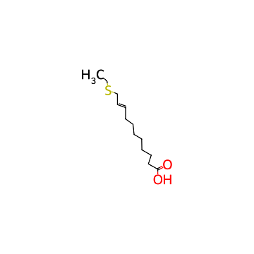 CCSCC=CCCCCCCCC(=O)O